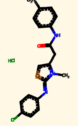 Cl.Cn1c(CC(=O)Nc2ccc([N+](=O)[O-])cc2)csc1=Nc1ccc(Cl)cc1